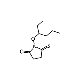 CCCC(CC)ON1C(=O)CCC1=S